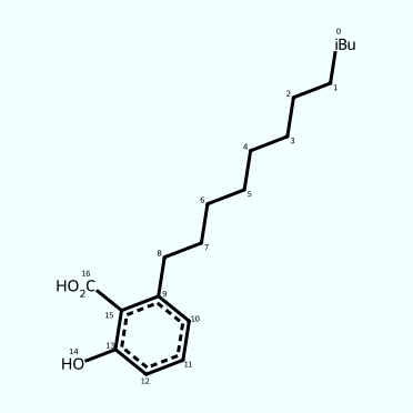 CCC(C)CCCCCCCCc1cccc(O)c1C(=O)O